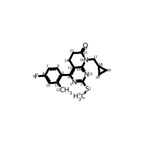 CSc1nc(-c2ccc(F)cc2C)c2c(n1)N(CC1CC1)C(=O)CC2